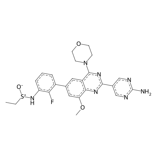 CC[S+]([O-])Nc1cccc(-c2cc(OC)c3nc(-c4cnc(N)nc4)nc(N4CCOCC4)c3c2)c1F